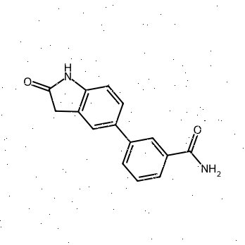 NC(=O)c1cccc(-c2ccc3c(c2)CC(=O)N3)c1